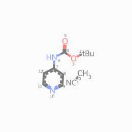 CC#N.CC(C)(C)OC(=O)Nc1ccncc1